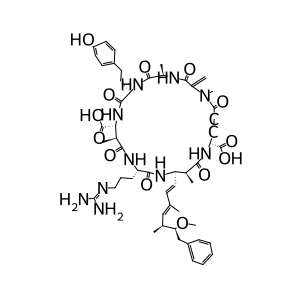 C=C1C(=O)N[C@H](C)C(=O)N[C@@H](CCc2ccc(O)cc2)C(=O)N[C@@H](C(=O)O)[C@H](C)C(=O)N[C@@H](CCCN=C(N)N)C(=O)N[C@@H](/C=C/C(C)=C/[C@H](C)[C@H](Cc2ccccc2)OC)[C@H](C)C(=O)N[C@@H](C(=O)O)CCC(=O)N1C